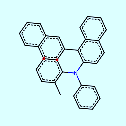 Cc1ccccc1N(c1ccccc1)c1ccc2ccccc2c1-c1ccc2ccccc2c1